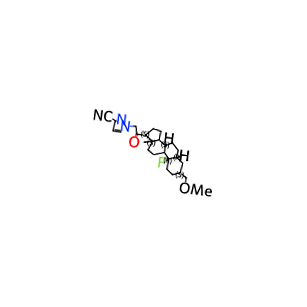 COC[C@H]1CC[C@]2(F)C3CC[C@@]4(C)C(CC[C@@H]4C(=O)Cn4ccc(C#N)n4)[C@@H]3CC[C@@H]2C1